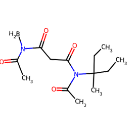 BN(C(C)=O)C(=O)CC(=O)N(C(C)=O)C(C)(CC)CC